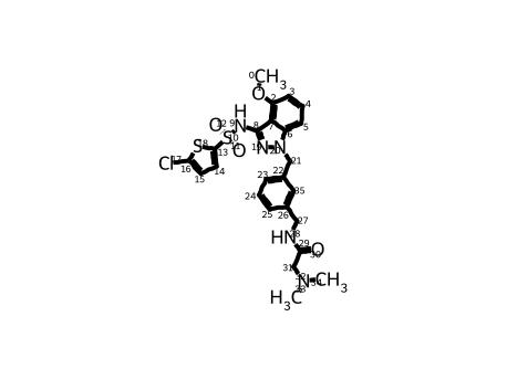 COc1cccc2c1c(NS(=O)(=O)c1ccc(Cl)s1)nn2Cc1cccc(CNC(=O)CN(C)C)c1